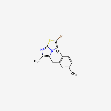 Cc1ccc(C)c(Cc2c(C)nc3sc(Br)cn23)c1